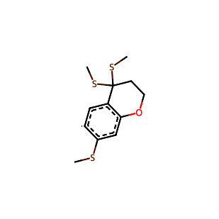 CSc1[c]cc2c(c1)OCCC2(SC)SC